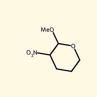 COC1OCCCC1[N+](=O)[O-]